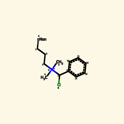 CCCCCCCCCCCC[N+](C)(C)C(Cl)c1ccccc1